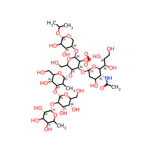 CC(=O)N[C@@H]1C(O)C[C@@](OC=O)(O[C@@H]2C(O)[C@H](O[C@@H]3CO[C@@H](OC(C)C)C(O)[C@H]3O)OC(CO)[C@@H]2O[C@H]2OC(CO)[C@H](O)[C@H](O[C@@H]3OC(CO)[C@H](O)[C@H](O)C3O[C@@H]3OC(C)[C@@H](O)C(O)[C@@H]3O)C2C)OC1[C@H](O)[C@H](O)CO